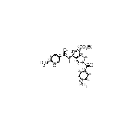 CCOC(=O)n1nc(NC(=O)c2ccc([N+](=O)[O-])cc2)c2c1CN(C(=O)c1ccc(C)cc1)C2